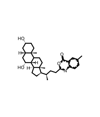 Cc1ccc2nc(CC[C@@H](C)[C@H]3CC[C@H]4[C@H]5C(CC[C@]34C)[C@@]3(C)CC[C@@H](O)C[C@H]3C[C@H]5O)oc(=O)c2c1